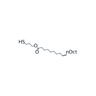 CCCCCCCC/C=C\CCCCCCCC(=O)OCCCS